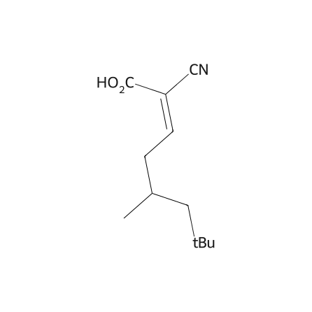 CC(CC=C(C#N)C(=O)O)CC(C)(C)C